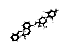 O=S1(=O)C=Cc2c(OC[C@]3(O)CCN(c4c(F)cc(Cl)cc4F)C[C@H]3O)cccc2N1Cc1ccccc1